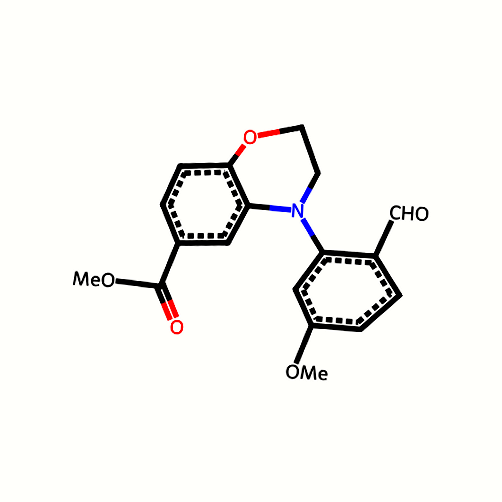 COC(=O)c1ccc2c(c1)N(c1cc(OC)ccc1C=O)CCO2